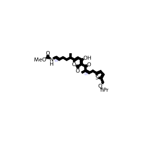 CCCOCc1ccc(C/C=C(/C)C(=O)c2c(O)cc(C(C)CC/C=C/NC(=O)OC)oc2=O)s1